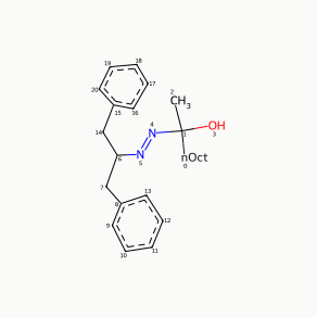 CCCCCCCCC(C)(O)N=NC(Cc1ccccc1)Cc1ccccc1